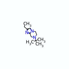 CCc1cn2c(n1)CN(C(C)(C)C)CC2